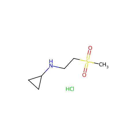 CS(=O)(=O)CCNC1CC1.Cl